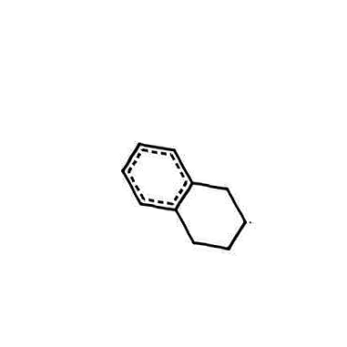 [CH]1CCc2ccccc2C1